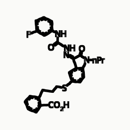 CCCN1C(=O)C(=NNC(=O)Nc2cccc(F)c2)c2cc(SCCCc3ccccc3C(=O)O)ccc21